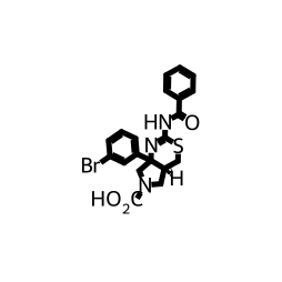 O=C(NC1=NC2(c3cccc(Br)c3)CN(C(=O)O)C[C@H]2CS1)c1ccccc1